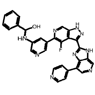 OC(Nc1cncc(-c2ncc3[nH]nc(-c4nc5c(-c6ccncc6)cncc5[nH]4)c3c2F)c1)c1ccccc1